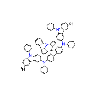 [2H]c1ccc2c(c1)c1cc(N(c3ccccc3)c3ccc4c(c3)C3(c5cc(N(c6ccccc6)c6ccc7c(c6)c6cc([2H])ccc6n7-c6ccccc6)ccc5-4)c4ccccc4-n4c5ccccc5c5cccc3c54)ccc1n2-c1ccccc1